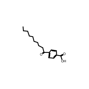 CCCCCCCCCC(=O)c1ccc(C(=O)O)cc1